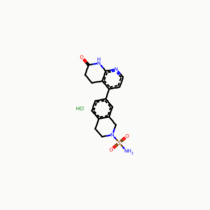 Cl.NS(=O)(=O)N1CCc2ccc(-c3ccnc4c3CCC(=O)N4)cc2C1